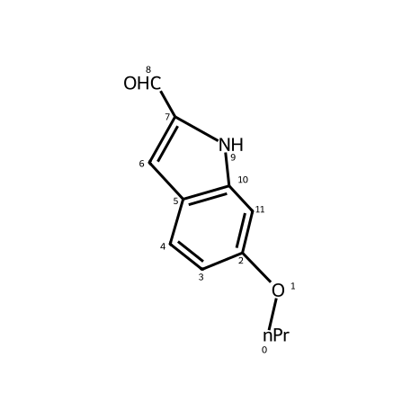 CCCOc1ccc2cc(C=O)[nH]c2c1